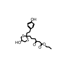 CCCOC(=O)CC(=O)CCCC1(CCc2ccc(O)cc2)SCC(O)CS1